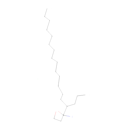 CCCCCCCCCCCCCCC(CCC)C1(N)CCO1.Cl